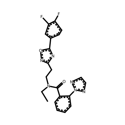 CCN(CCc1noc(-c2ccc(F)c(F)c2)n1)C(=O)c1ccccc1-n1nccn1